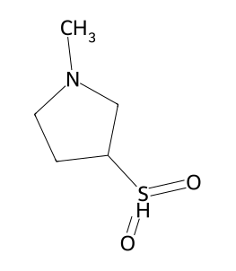 CN1CCC([SH](=O)=O)C1